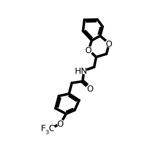 O=C(Cc1ccc(OC(F)(F)F)cc1)NCC1COc2ccccc2O1